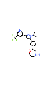 CC(C)n1nc(-c2cncc(C(F)(F)F)c2)cc1[C@H]1CC[C@H](C2CNCCCO2)C1